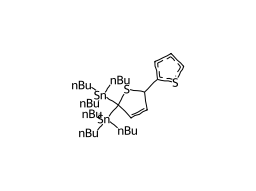 CCC[CH2][Sn]([CH2]CCC)([CH2]CCC)[C]1([Sn]([CH2]CCC)([CH2]CCC)[CH2]CCC)C=CC(c2cccs2)S1